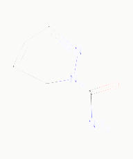 NC(=O)N1CC=CC=N1